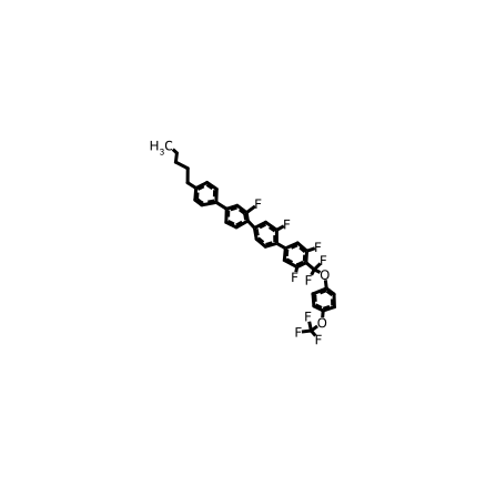 CCCCCc1ccc(-c2ccc(-c3ccc(-c4cc(F)c(C(F)(F)Oc5ccc(OC(F)(F)F)cc5)c(F)c4)c(F)c3)c(F)c2)cc1